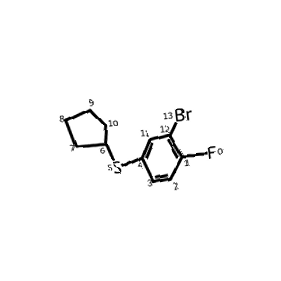 Fc1ccc(SC2CCCC2)cc1Br